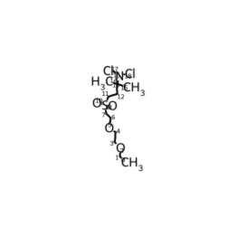 CCOCCOCCS(=O)(=O)CCC(C)(C)N(Cl)Cl